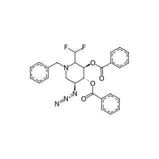 [N-]=[N+]=N[C@H]1CN(Cc2ccccc2)C(C(F)F)[C@@H](OC(=O)c2ccccc2)[C@@H]1OC(=O)c1ccccc1